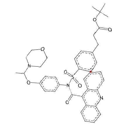 CC(Oc1ccc(N(C(=O)c2c3ccccc3nc3ccccc23)S(=O)(=O)c2ccc(CCC(=O)OC(C)(C)C)cc2)cc1)N1CCOCC1